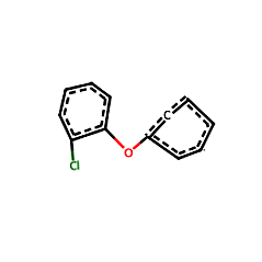 Clc1ccccc1Oc1c[c]ccc1